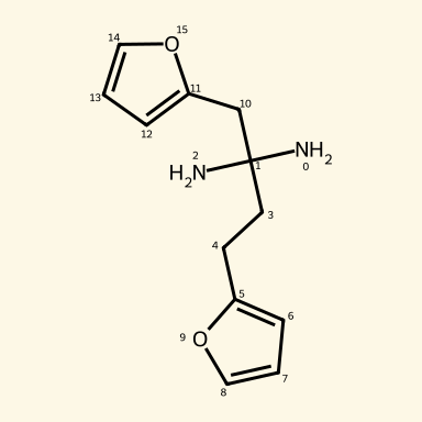 NC(N)(CCc1ccco1)Cc1ccco1